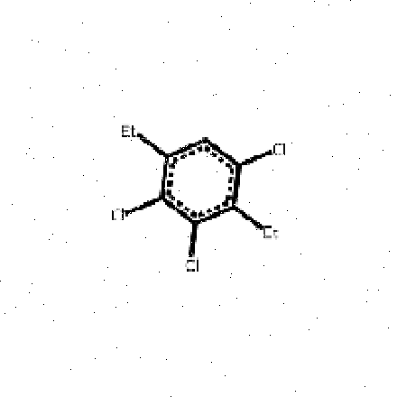 CCc1cc(Cl)c(CC)c(Cl)c1Cl